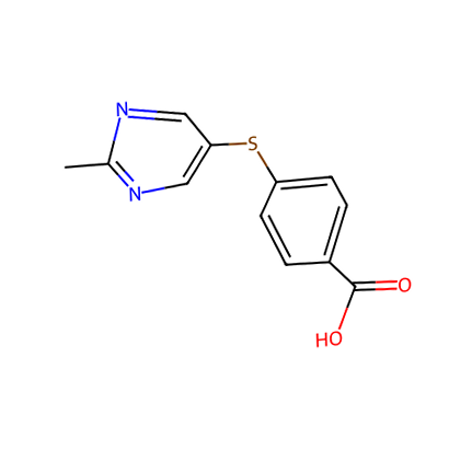 Cc1ncc(Sc2ccc(C(=O)O)cc2)cn1